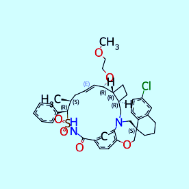 COCCO[C@H]1/C=C/C[C@H](C)[C@H](c2ccccc2)S(=O)(=O)NC(=O)c2ccc3c(c2)N(C[C@@H]2CC[C@H]21)C[C@@]1(CCCc2cc(Cl)ccc21)CO3